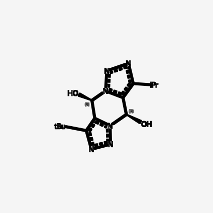 CC(C)c1nnn2c1[C@@H](O)n1nnc(C(C)(C)C)c1[C@H]2O